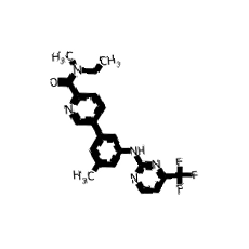 CCN(C)C(=O)c1ccc(-c2cc(C)cc(Nc3nccc(C(F)(F)F)n3)c2)cn1